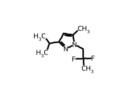 Cc1cc(C(C)C)nn1CC(C)(F)F